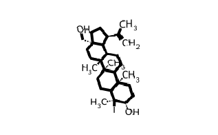 C=C(C)[C@@H]1CC[C@]2(CO)CC[C@]3(C)C(CCC4[C@@]5(C)CC[C@H](O)[C@@](C)(I)C5CC[C@]43C)C12